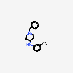 N#Cc1cc[c]c(NC2CCN(Cc3ccccc3)CC2)c1